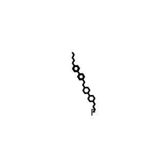 CCCCCc1ccc(-c2ccc(CCC3CCC(C4CCC(CCCF)CC4)CC3)cc2)cc1